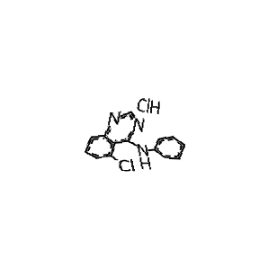 Cl.Clc1cccc2ncnc(Nc3ccccc3)c12